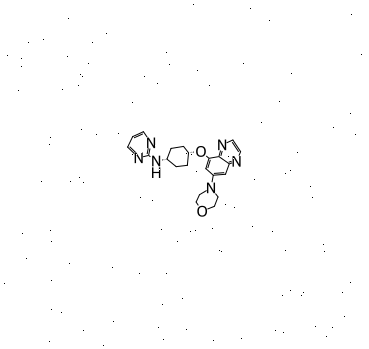 c1cnc(N[C@H]2CC[C@@H](Oc3cc(N4CCOCC4)cc4nccnc34)CC2)nc1